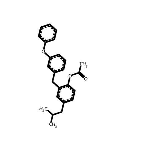 CC(=O)Oc1ccc(CC(C)C)cc1Cc1cccc(Oc2ccccc2)c1